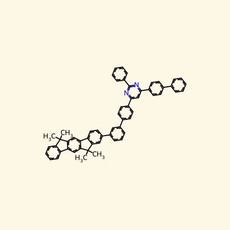 CC1(C)c2ccccc2-c2cc3c(cc21)-c1ccc(-c2cccc(-c4ccc(-c5cc(-c6ccc(-c7ccccc7)cc6)nc(-c6ccccc6)n5)cc4)c2)cc1C3(C)C